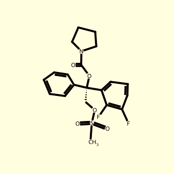 CS(=O)(=O)OC[C@@](OC(=O)N1CCCC1)(c1ccccc1)c1cccc(F)c1F